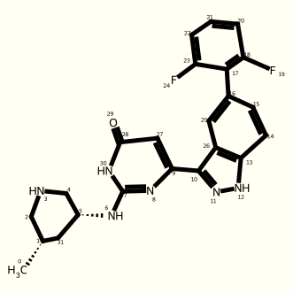 C[C@@H]1CNC[C@H](Nc2nc(-c3n[nH]c4ccc(-c5c(F)cccc5F)cc34)cc(=O)[nH]2)C1